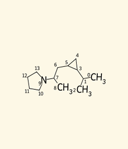 CC(C)C1CC1CC(C)N1CCCC1